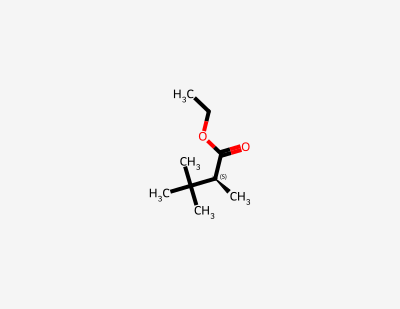 CCOC(=O)[C@@H](C)C(C)(C)C